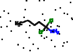 CCCCC(N)(Cl)Cl